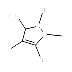 CC1=C(N)N(C)N(N)C1N